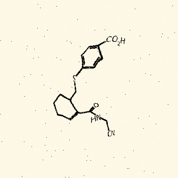 N#CCNC(=O)C1CCCCC1CSc1ccc(C(=O)O)cc1